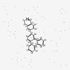 C1=NCCc2cc(-c3ccc4c5ccccc5c5ccccc5c4c3)ccc21